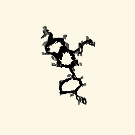 CCCCNc1nc(N2CCN(C=O)CC2)nc2sc(CC)cc12